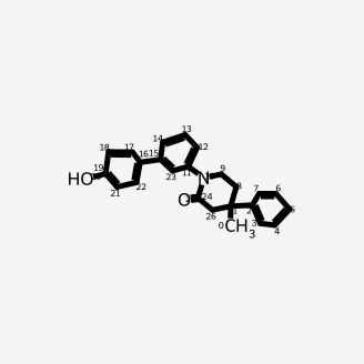 CC1(c2ccccc2)CCN(c2cccc(-c3ccc(O)cc3)c2)C(=O)C1